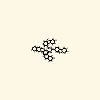 c1ccc2cc3c(cc2c1)c1ccccc1n3-c1ccc2oc3ccccc3c2c1-c1nc(-c2ccc3c(c2)oc2ccccc23)nc(-c2cccc3ccccc23)n1